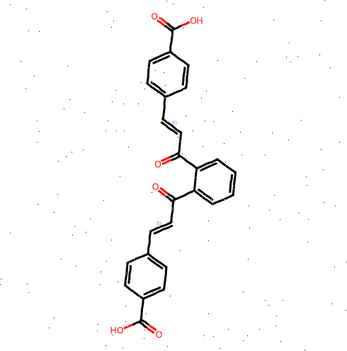 O=C(O)c1ccc(/C=C/C(=O)c2ccccc2C(=O)/C=C/c2ccc(C(=O)O)cc2)cc1